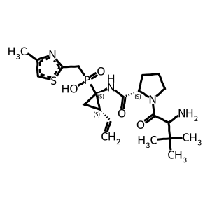 C=C[C@@H]1C[C@]1(NC(=O)[C@@H]1CCCN1C(=O)C(N)C(C)(C)C)P(=O)(O)Cc1nc(C)cs1